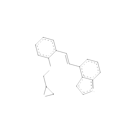 C(=Cc1cccc2[nH]ccc12)c1ccccc1OCC1CO1